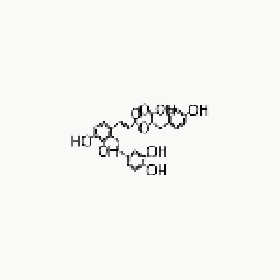 O=C(/C=C/c1ccc(O)c(O)c1/C=C/c1ccc(O)c(O)c1)O[C@H](Cc1ccc(O)cc1)C(=O)O